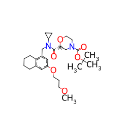 COCCCOc1cc2c(c(CN(C(=O)[C@H]3CN(C(=O)OC(C)(C)C)CCO3)C3CC3)c1)CCCC2